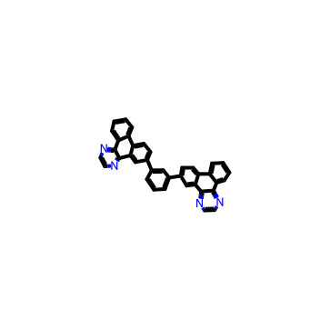 c1cc(-c2ccc3c4ccccc4c4nccnc4c3c2)cc(-c2ccc3c4ccccc4c4nccnc4c3c2)c1